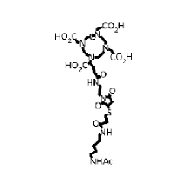 CC(=O)NCCCCCNC(=O)CCSC1CC(=O)N(CCNC(=O)CCC(C(=O)O)N2CCN(CC(=O)O)CCN(CC(=O)O)CCN(CC(=O)O)CC2)C1=O